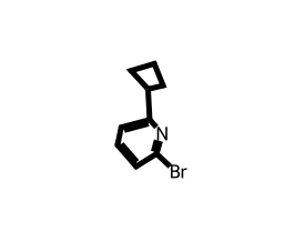 Brc1cccc(C2CCC2)n1